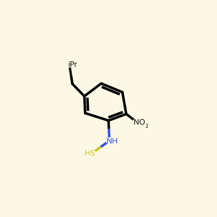 CC(C)Cc1ccc([N+](=O)[O-])c(NS)c1